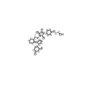 C[C@@H](c1ccccc1)[C@@H](c1ncc(-c2ccc(Cl)cc2F)[nH]1)N1C(=O)N[C@H](c2ccc(OCCO)cc2)C1=O